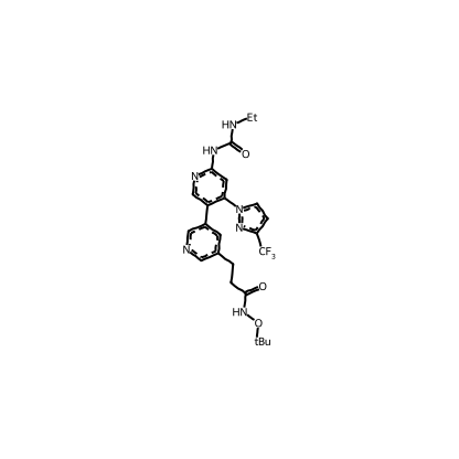 CCNC(=O)Nc1cc(-n2ccc(C(F)(F)F)n2)c(-c2cncc(CCC(=O)NOC(C)(C)C)c2)cn1